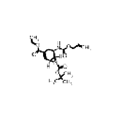 C=CCOC(=O)N[C@@H]1CC(C(=O)OCC)=C[C@@H]2[C@H]1N2C(=O)OC(C)(C)C